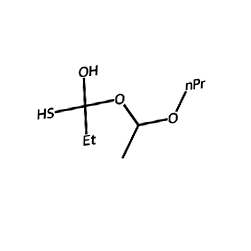 CCCOC(C)OC(O)(S)CC